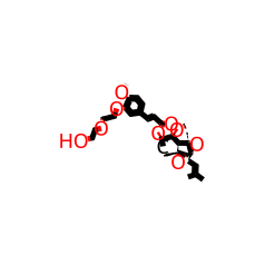 COc1ccc(/C=C/C(=O)O[C@@H]2CC[C@]3(CO3)[C@@H]([C@@]3(C)O[C@@H]3CC=C(C)C)[C@@H]2OC)cc1OCCOCCO